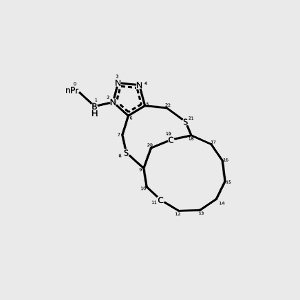 CCCBn1nnc2c1CSC1CCCCCCCCC(CC1)SC2